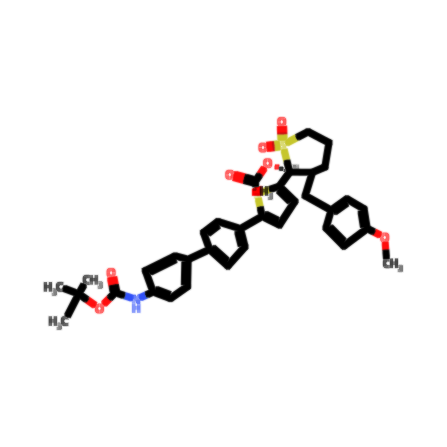 COc1ccc(CC2CCCS(=O)(=O)[C@]2(OC(C)=O)c2ccc(-c3ccc(-c4ccc(NC(=O)OC(C)(C)C)cc4)cc3)s2)cc1